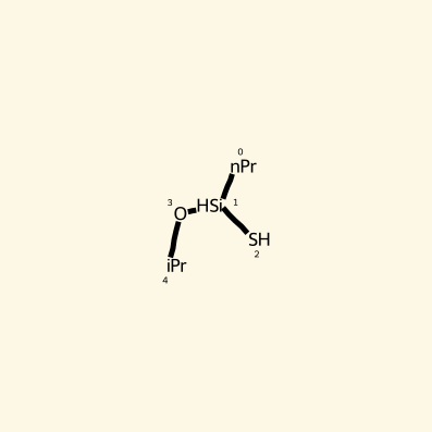 CCC[SiH](S)OC(C)C